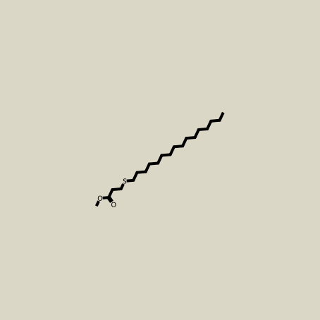 CCCCCCCCCCCCCCCCSCCC(=O)OC